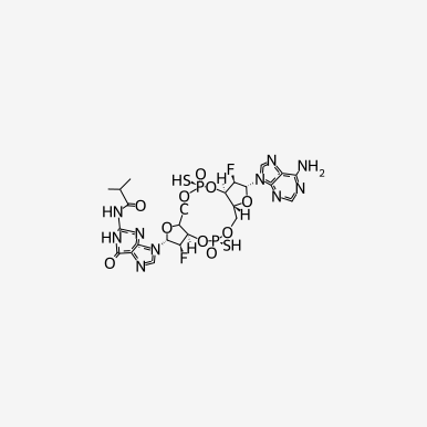 CC(C)C(=O)Nc1nc2c(ncn2[C@@H]2OC3CO[P@@](=O)(S)O[C@H]4[C@@H](F)[C@H](n5cnc6c(N)ncnc65)O[C@@H]4CO[P@@](=O)(S)O[C@H]3[C@H]2F)c(=O)[nH]1